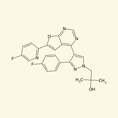 CC(C)(O)Cn1cc(-c2ncnc3oc(-c4ccc(F)cn4)cc23)c(-c2ccc(F)cc2)n1